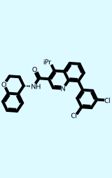 CC(C)c1c(C(=O)N[C@H]2CCOc3ccccc32)cnc2c(-c3cc(Cl)cc(Cl)c3)cccc12